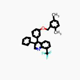 Cc1ccc(C)c(COc2cccc(-c3c(-c4ccccc4)cnc4c(C(F)(F)F)cccc34)c2)c1